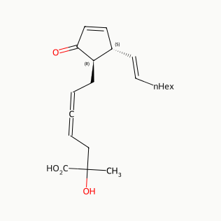 CCCCCCC=C[C@H]1C=CC(=O)[C@@H]1CC=C=CCC(C)(O)C(=O)O